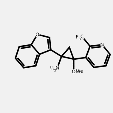 COC1(c2cccnc2C(F)(F)F)CC1(N)c1coc2ccccc12